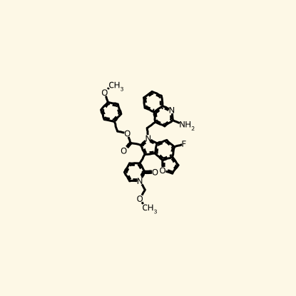 COCn1cccc(-c2c(C(=O)OCc3ccc(OC)cc3)n(Cc3cc(N)nc4ccccc34)c3cc(F)c4ccoc4c23)c1=O